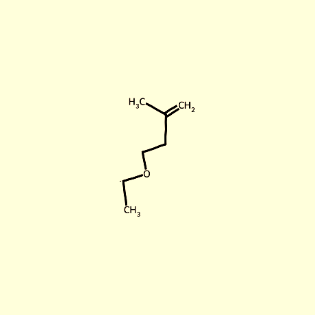 C=C(C)CCO[CH]C